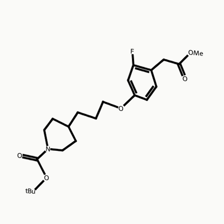 COC(=O)Cc1ccc(OCCCC2CCN(C(=O)OC(C)(C)C)CC2)cc1F